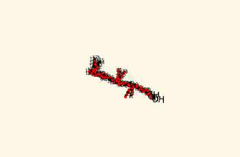 CCCCCCCCC1(CCCCCCC)c2cc(-c3ccc(-c4ccc5c(c4)CCc4cc(BOC(C)(C)C(C)(C)O)ccc4-5)cc3)ccc2-c2ccc(-c3ccc(-c4ccc5c(c4)C(CCCCCCCC)(CCCCCCCC)c4cc(-c6ccc(-c7ccc8c(c7)C(C)(C)c7cc(-c9ccc%10c(c9)C(CCCCCCCC)(CCCCCCCC)c9ccccc9-%10)ccc7-8)cc6)ccc4-5)cc3)cc21